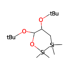 CC(C)(C)OC1C[Si](C)(C)[Si](C)(C)OC1OC(C)(C)C